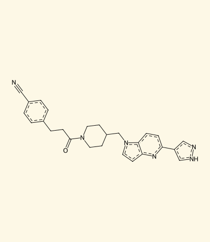 N#Cc1ccc(CCC(=O)N2CCC(Cn3ccc4nc(-c5cn[nH]c5)ccc43)CC2)cc1